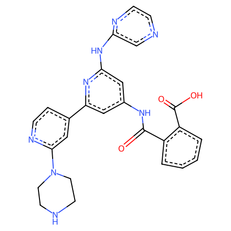 O=C(O)c1ccccc1C(=O)Nc1cc(Nc2cnccn2)nc(-c2ccnc(N3CCNCC3)c2)c1